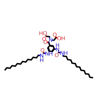 CCCCCCCCCCCCCCNC(=O)Nc1cc(NC(=O)NCCCCCCCCCCCCCC)cc(C(=O)N(CC(=O)O)CC(=O)O)c1